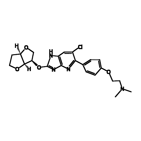 CN(C)CCOc1ccc(-c2nc3nc(O[C@@H]4CO[C@@H]5CCO[C@@H]54)[nH]c3cc2Cl)cc1